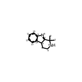 CC1(C)NCCC2C1=Nc1ccccc12